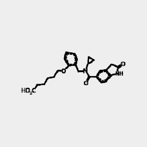 O=C(O)CCCCCOc1ccccc1CN(C(=O)c1ccc2c(c1)CC(=O)N2)C1CC1